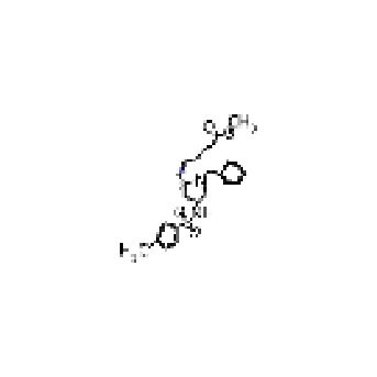 COC(=O)CCC/C=C\[C@@H]1C[C@@H](NS(=O)(=O)c2ccc(C)cc2)CN1Cc1ccccc1